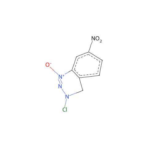 O=[N+]([O-])c1ccc2c(c1)[N+]([O-])=NN(Cl)C2